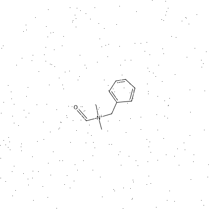 C[N+](C)(C=O)Cc1ccccc1